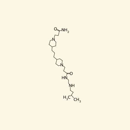 CC(C)CCNCCNC(=O)CCN1CCC(CCCC2CCN(CCC(N)=O)CC2)CC1